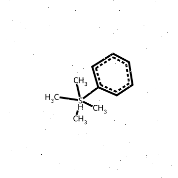 C[SH](C)(C)(C)c1ccccc1